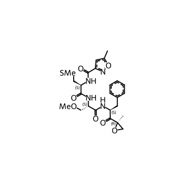 COC[C@H](NC(=O)[C@@H](CSC)NC(=O)c1cc(C)on1)C(=O)N[C@@H](Cc1ccccc1)C(=O)[C@@]1(C)CO1